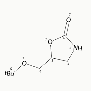 CC(C)(C)OCC1CNC(=O)O1